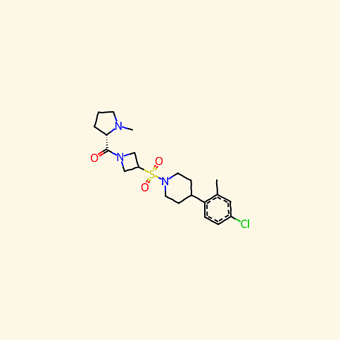 Cc1cc(Cl)ccc1C1CCN(S(=O)(=O)C2CN(C(=O)[C@@H]3CCCN3C)C2)CC1